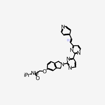 CC(C)NC(=O)COc1ccc2c(c1)CN(c1nccc(-c3nccc(/C=C/c4ccncc4)n3)n1)C2